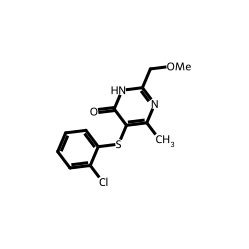 COCc1nc(C)c(Sc2ccccc2Cl)c(=O)[nH]1